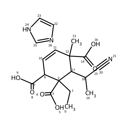 CCC1(C(=O)O)C(C(=O)O)C=CC(C)(C(=O)O)C1C(C)C#N.c1c[nH]cn1